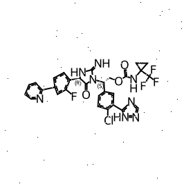 N=C1N[C@H](c2ccc(-c3ccccn3)cc2F)C(=O)N1[C@H](COC(=O)NC1(C(F)(F)F)CC1)c1ccc(Cl)c(-c2ncn[nH]2)c1